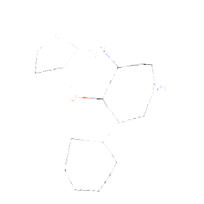 NC1CNCC(C2CCCCC2)C1O[C@@H]1CCOC1